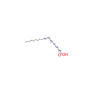 CCCCCCCCC/C=C/C=C\C=C\C=C\C=C\C=C\C(=O)O